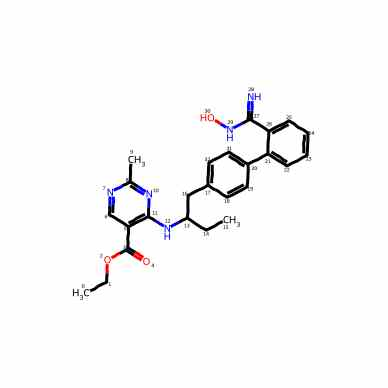 CCOC(=O)c1cnc(C)nc1NC(CC)Cc1ccc(-c2ccccc2C(=N)NO)cc1